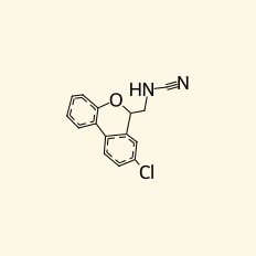 N#CNCC1Oc2ccccc2-c2ccc(Cl)cc21